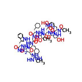 CNC(=N)NCCC[C@H](NC(=O)[C@H](CC1CCCCC1)NC(=O)CNC(=O)[C@H](CC1CCCCC1)NC(=O)[C@@H](NC(=O)[C@H](CC(N)=O)NC(=O)[C@@H]1C[C@@H](O)CN1C(=O)[C@@H](Cc1ccc(O)cc1)NC(C)=O)[C@@H](C)O)C(=O)N[C@@H](Cc1c[nH]c2ccccc12)C(N)=O